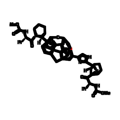 COC(=O)N[C@H](C(=O)N1C2CCC(CC2)[C@H]1c1nc(-c2ccc(-c3cc4ccc3CCc3ccc(c(-c5c[nH]c([C@@H]6C7CCC(CC7)N6C(=O)[C@@H](NC(=O)OC)C(C)C)n5)c3)CC4)cc2)c[nH]1)C(C)C